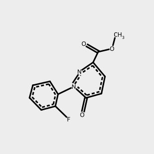 COC(=O)c1ccc(=O)n(-c2ccccc2F)n1